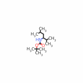 CC(C)CC(NC(=O)OC(C)(C)C)C(C)C